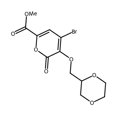 COC(=O)c1cc(Br)c(OCC2COCCO2)c(=O)o1